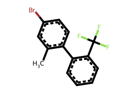 Cc1cc(Br)ccc1-c1ccccc1C(F)(F)F